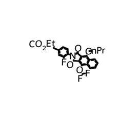 CCCOc1c2c(c(OC(F)F)c3ccccc13)C(=O)N(c1ccc(CC(=O)OCC)cc1F)C2=O